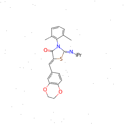 Cc1cccc(C)c1N1C(=O)/C(=C/c2ccc3c(c2)OCCO3)S/C1=N\C(C)C